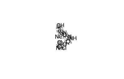 CC(Oc1ccc2[nH]nc(-c3cnc(N4CC[C@H](C(C)(C)O)C4)c(C#N)c3)c2c1)c1c(Cl)cncc1Cl